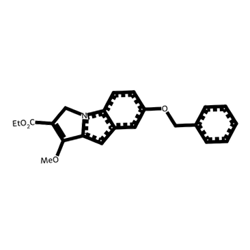 CCOC(=O)C1=C(OC)c2cc3cc(OCc4ccccc4)ccc3n2C1